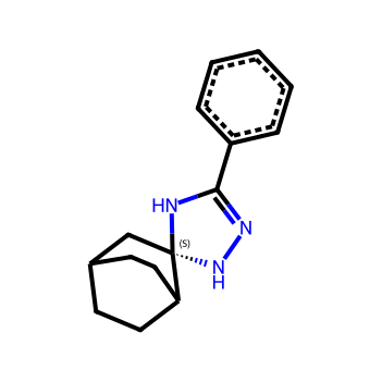 c1ccc(C2=NN[C@]3(CC4CCC3CC4)N2)cc1